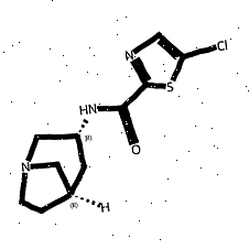 O=C(N[C@@H]1C[C@H]2CCN(C2)C1)c1ncc(Cl)s1